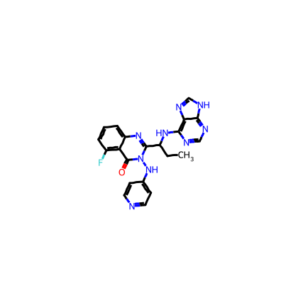 CCC(Nc1ncnc2[nH]cnc12)c1nc2cccc(F)c2c(=O)n1Nc1ccncc1